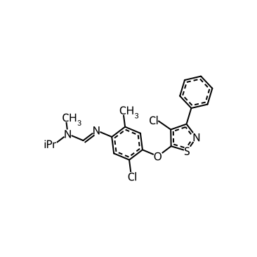 Cc1cc(Oc2snc(-c3ccccc3)c2Cl)c(Cl)cc1N=CN(C)C(C)C